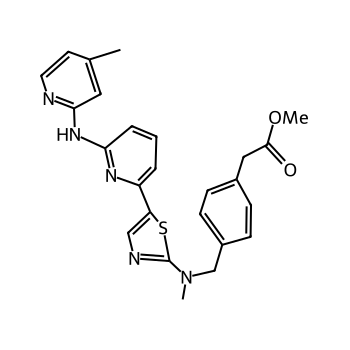 COC(=O)Cc1ccc(CN(C)c2ncc(-c3cccc(Nc4cc(C)ccn4)n3)s2)cc1